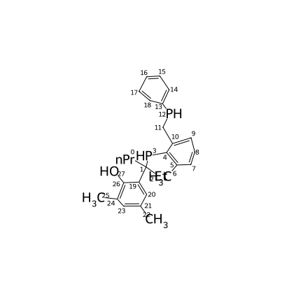 CCCC(CC)(Pc1c(C)cccc1CPc1ccccc1)c1cc(C)cc(C)c1O